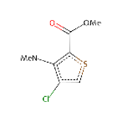 CNc1c(Cl)csc1C(=O)OC